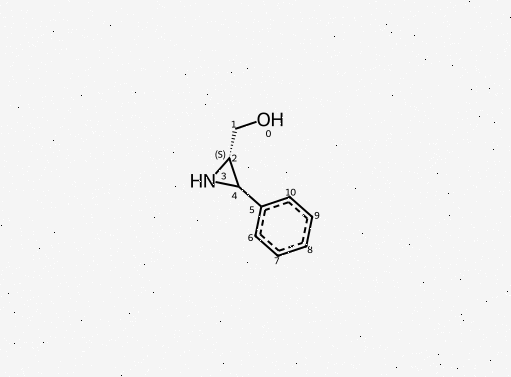 OC[C@H]1NC1c1ccccc1